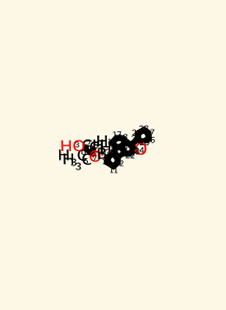 CC(C)(O)C(C)(C)OBc1cccc2c1-c1cccc3c1c-2cc1oc2ccccc2c13